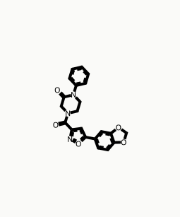 O=C(c1cc(-c2ccc3c(c2)OCO3)on1)N1CCN(c2ccccc2)C(=O)C1